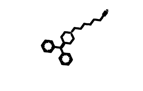 N#CCCCCCCN1CCC(=C(c2ccccc2)c2ccccc2)CC1